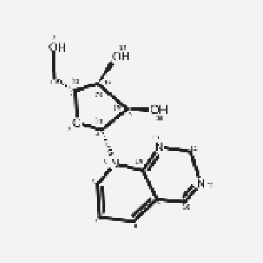 OC[C@H]1O[C@@H](N2C=CC=C3C=NCN=C32)[C@H](O)[C@@H]1O